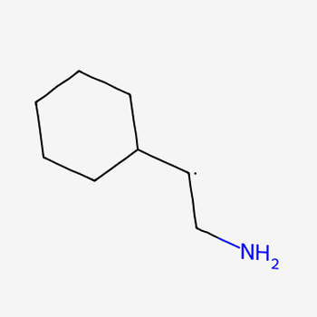 NC[CH]C1CCCCC1